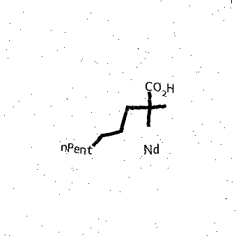 CCCCCCCCC(C)(C)C(=O)O.[Nd]